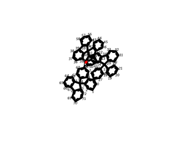 c1ccc(C2(c3ccc(N(c4ccc5c(c4)C(c4ccccc4)(c4ccccc4)c4ccccc4-5)c4cccc5c4C4(c6ccccc6-c6ccccc64)c4ccccc4-5)cc3)c3ccccc3-c3ccccc32)cc1